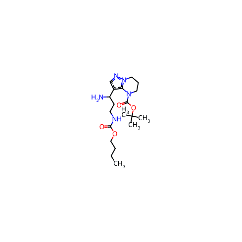 CCCCOC(=O)NCCC(N)c1cnn2c1N(C(=O)OC(C)(C)C)CCC2